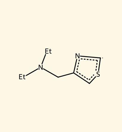 CCN(CC)Cc1cs[c]n1